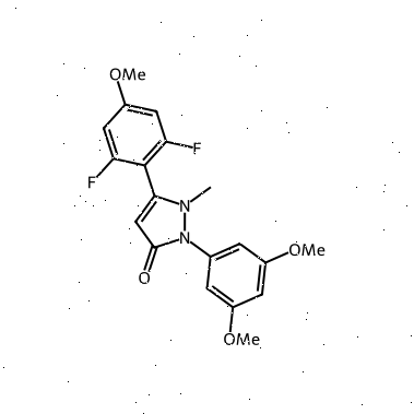 COc1cc(OC)cc(-n2c(=O)cc(-c3c(F)cc(OC)cc3F)n2C)c1